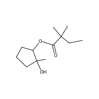 CCC(C)(I)C(=O)OC1CCCC1(C)O